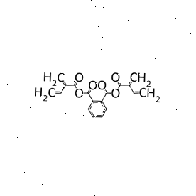 C=CC(=C)C(=O)OC(=O)c1ccccc1C(=O)OC(=O)C(=C)C=C